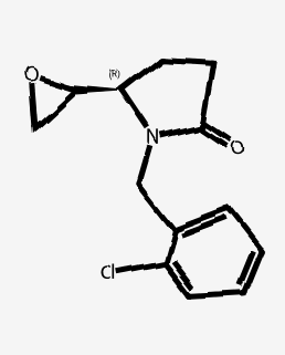 O=C1CC[C@H](C2CO2)N1Cc1ccccc1Cl